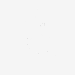 COC(=O)[C@H](C)NC(=O)c1ccccc1[N+](=O)[O-]